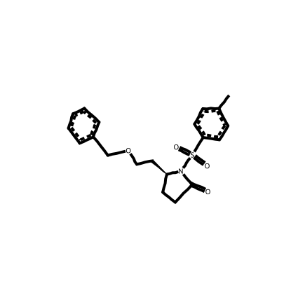 Cc1ccc(S(=O)(=O)N2C(=O)CC[C@H]2CCOCc2ccccc2)cc1